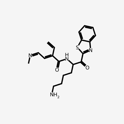 C=C/C(=C\C=N/C)C(=O)NC(CCCCN)C(=O)c1nc2ccccc2s1